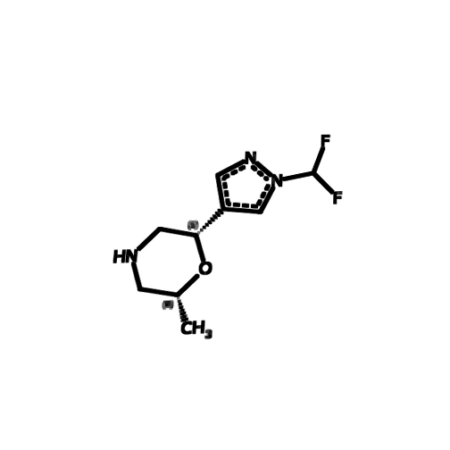 C[C@@H]1CNC[C@H](c2cnn(C(F)F)c2)O1